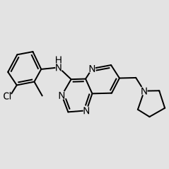 Cc1c(Cl)cccc1Nc1ncnc2cc(CN3CCCC3)cnc12